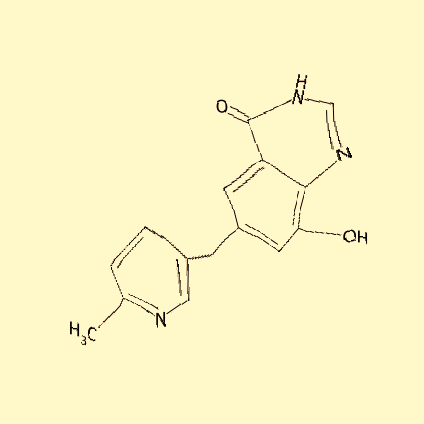 Cc1ccc(-c2cc(O)c3nc[nH]c(=O)c3c2)cn1